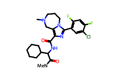 CNC(=O)C(NC(=O)c1nc(-c2cc(Cl)c(F)cc2F)n2c1CN(C)CCC2)C1CCCCC1